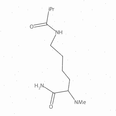 CNC(CCCCNC(=O)C(C)C)C(N)=O